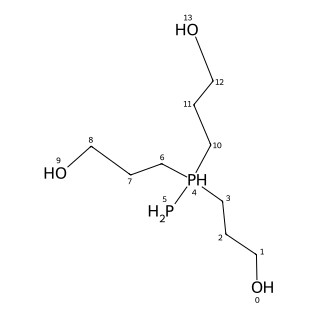 OCCC[PH](P)(CCCO)CCCO